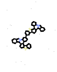 c1ccc2c(c1)cn1c3ccccc3c3c(ccc4c5cc(-c6ccc7c8c(ccc9sc%10ccccc%10c98)c8c9ccccc9cn8c7c6)ccc5sc43)c21